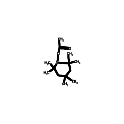 CC(=O)ON1C(C)(C)CC(C)(C)CC1(C)C